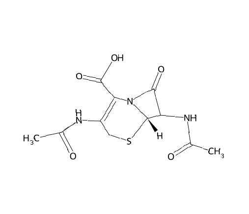 CC(=O)NC1=C(C(=O)O)N2C(=O)C(NC(C)=O)[C@@H]2SC1